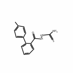 Cc1ccc(-c2ccccc2C(=O)NNC(N)=S)cc1